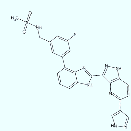 CS(=O)(=O)NCc1cc(F)cc(-c2cccc3[nH]c(-c4n[nH]c5ccc(-c6cn[nH]c6)nc45)nc23)c1